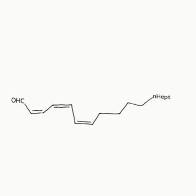 CCCCCCCCCCC\C=C/C=C\C=C/C=O